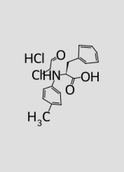 Cc1ccc(N[C@@H](Cc2ccccc2)C(=O)O)cc1.Cl.O=CCCl